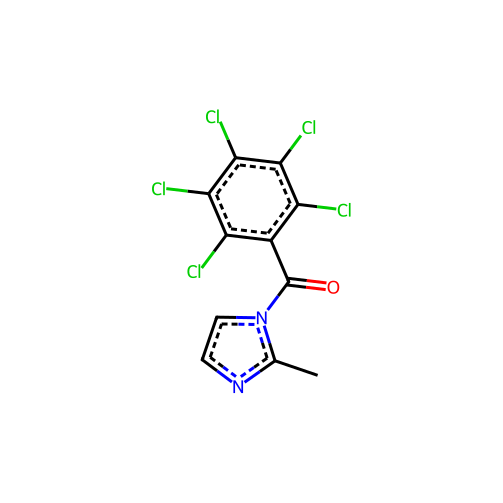 Cc1nccn1C(=O)c1c(Cl)c(Cl)c(Cl)c(Cl)c1Cl